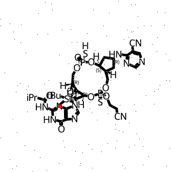 CC(C)C(=O)Nc1nc2c(ncn2[C@@H]2O[C@@H]3CO[P@@](=O)(S)O[C@H]4C[C@H](Nc5ncncc5C#N)C[C@@H]4CO[P@](=S)(OCCC#N)O[C@@H]2[C@@H]3O[Si](C)(C)C(C)(C)C)c(=O)[nH]1